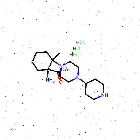 CC(=O)OC(=O)C1(N)CCCCC1(C)N1CCN(C2CCNCC2)CC1.Cl.Cl.Cl